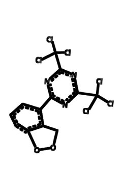 ClC(Cl)(Cl)c1nc(-c2cccc3c2COO3)nc(C(Cl)(Cl)Cl)n1